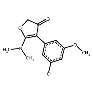 COc1cc(Cl)cc(C2=C(N(C)C)OCC2=O)c1